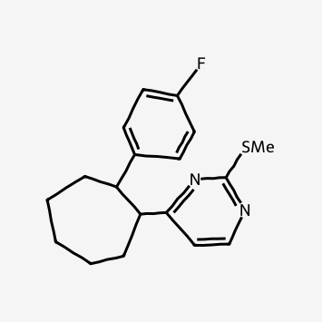 CSc1nccc(C2CCCCCC2c2ccc(F)cc2)n1